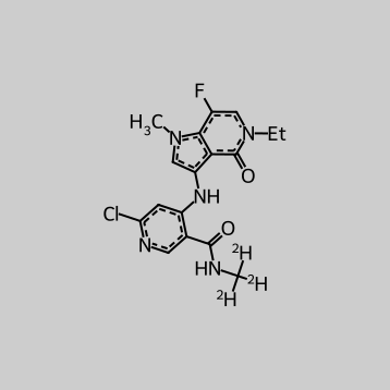 [2H]C([2H])([2H])NC(=O)c1cnc(Cl)cc1Nc1cn(C)c2c(F)cn(CC)c(=O)c12